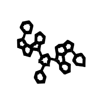 c1ccc(-c2nc(-n3c4ccccc4c4c5c(ccc43)ccn5-c3ccccc3)cc(-n3c4ccccc4c4c5c(ccc43)ccn5-c3ccccc3)n2)cc1